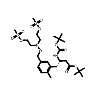 Cc1ccc(CON(CCOS(C)(=O)=O)CCOS(C)(=O)=O)cc1C[C@@H](CC(=O)OC(C)(C)C)NC(=O)OC(C)(C)C